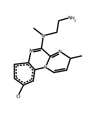 CC1C=CN2C(=N1)C(N(C)CCN)=Nc1ccc(Cl)cc12